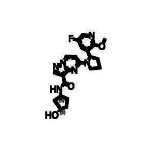 COc1ncc(F)cc1C1CCCN1c1ccn2ncc(C(=O)N[C@H]3CC[C@H](O)C3)c2n1